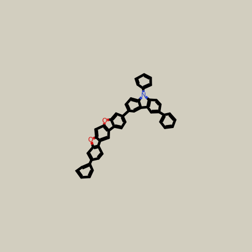 c1ccc(-c2ccc3c(c2)oc2cc4oc5cc(-c6ccc7c(c6)c6cc(-c8ccccc8)ccc6n7-c6ccccc6)ccc5c4cc23)cc1